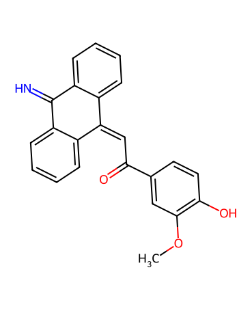 COc1cc(C(=O)C=C2c3ccccc3C(=N)c3ccccc32)ccc1O